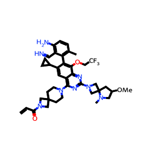 C=CC(=O)N1CC2(CCN(c3nc(N4CC5(CC(OC)CN5C)C4)nc4c(OCC(F)(F)F)c(-c5c(C)ccc(N)c5C=N)c(C5CC5)cc34)CC2)C1